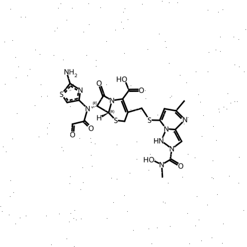 CC1=NC2=CN(C(=O)N(C)O)NN2C(SCC2=C(C(=O)O)N3C(=O)[C@@H](N(C(=O)C=O)c4csc(N)n4)[C@H]3SC2)=C1